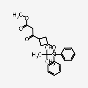 COC(=O)CC(=O)C1CC(O[Si](c2ccccc2)(c2ccccc2)C(C)(C)C)C1